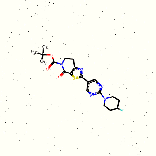 CC(C)(C)OC(=O)N1CCc2nc(-c3cnc(N4CCC(F)CC4)nc3)sc2C1=O